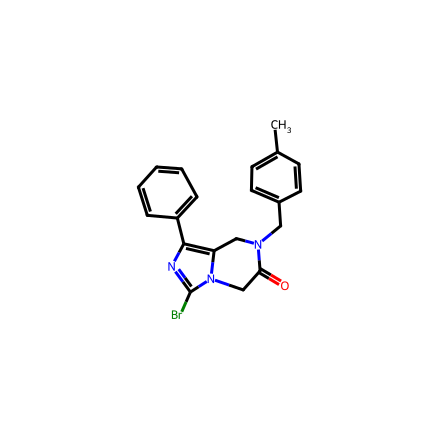 Cc1ccc(CN2Cc3c(-c4ccccc4)nc(Br)n3CC2=O)cc1